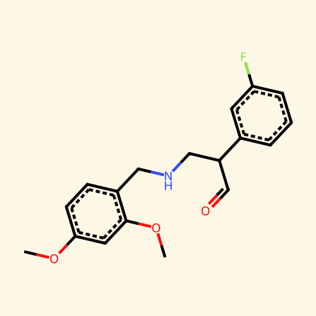 COc1ccc(CNCC(C=O)c2cccc(F)c2)c(OC)c1